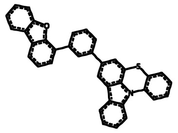 c1cc(-c2cc3c4c(c2)c2ccccc2n4-c2ccccc2S3)cc(-c2cccc3c2oc2ccccc23)c1